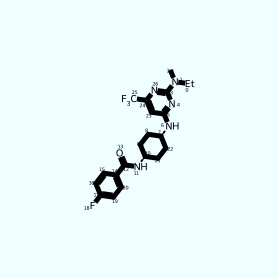 CCN(C)c1nc(N[C@H]2CC[C@@H](NC(=O)c3ccc(F)cc3)CC2)cc(C(F)(F)F)n1